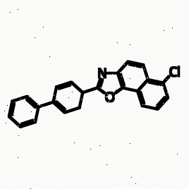 Clc1cccc2c1ccc1nc(C3C=CC(c4ccccc4)=CC3)oc12